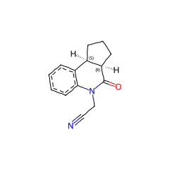 N#CCN1C(=O)[C@@H]2CCC[C@@H]2c2ccccc21